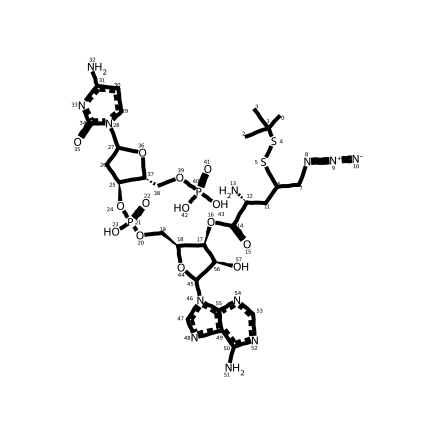 CC(C)(C)SSC(CN=[N+]=[N-])C[C@@H](N)C(=O)O[C@@H]1[C@H](COP(=O)(O)O[C@H]2CC(n3ccc(N)nc3=O)O[C@@H]2COP(=O)(O)O)OC(n2cnc3c(N)ncnc32)[C@@H]1O